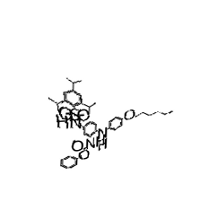 CCCCCCOc1ccc(Nc2ccc(NS(=O)(=O)c3c(C(C)C)cc(C(C)C)cc3C(C)C)cc2NC(=O)Oc2ccccc2)cc1